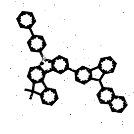 CC1(C)c2ccccc2-c2c1ccc1c2c2cc(-c3ccc4c(c3)-c3ccccc3C4c3ccc4ccccc4c3)ccc2n1-c1ccc(-c2ccccc2)cc1